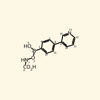 O=C(O)NOB(O)c1ccc(-c2cccnc2)cc1